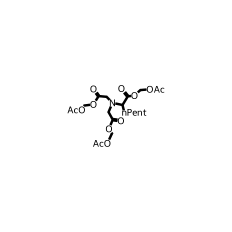 CCCCCC(C(=O)OCOC(C)=O)N(CC(=O)OCOC(C)=O)CC(=O)OCOC(C)=O